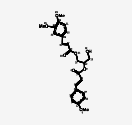 COc1ccc(/C=C/C(=O)OC(CO)COC(=O)/C=C/c2ccc(OC)c(OC)c2)cc1